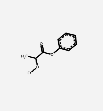 C[CH]OC(C)C(=O)Oc1ccccc1